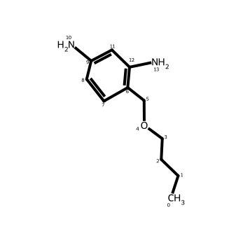 CCCCOCc1ccc(N)cc1N